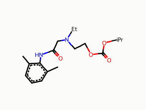 CCN(CCOC(=O)OC(C)C)CC(=O)Nc1c(C)cccc1C